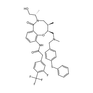 C[C@@H]1CN([C@@H](C)CO)C(=O)c2cccc(NC(=O)Cc3ccc(C(F)(F)F)c(F)c3)c2O[C@@H]1CN(C)Cc1ccc(Sc2ccccc2)cc1